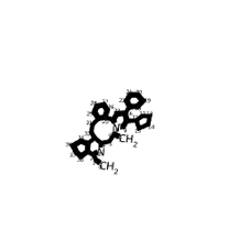 C=CC1=NC2CC(=C)[n+]3cc(C4CCCC4)c(-c4ccccc4)cc3-c3ccccc3CCC2c2ccccc21